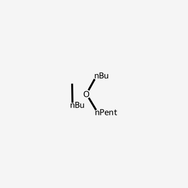 CCCCC.CCCCCOCCCC